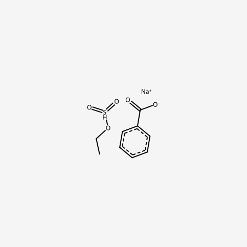 CCO[SH](=O)=O.O=C([O-])c1ccccc1.[Na+]